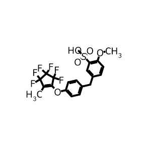 COc1ccc(Cc2ccc(OC3=C(C)C(F)(F)C(F)(F)C3(F)F)cc2)cc1S(=O)(=O)O